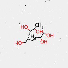 CC(O)C(C)O.OCCCCC(O)CO